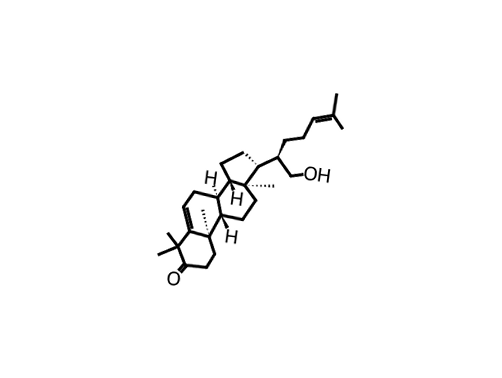 CC(C)=CCC[C@@H](CO)[C@H]1CC[C@H]2[C@@H]3CC=C4C(C)(C)C(=O)CC[C@]4(C)[C@H]3CC[C@]12C